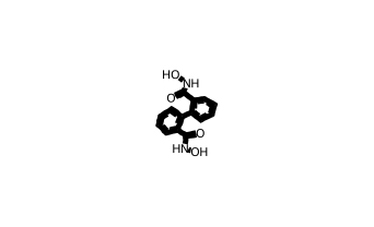 O=C(NO)c1ccccc1-c1ccccc1C(=O)NO